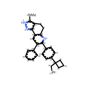 CNc1[nH]nc2c1CCc1nc(-c3ccc(C4(C[C](C)C)CCC4)cc3)c(-c3ccccc3)cc1-2